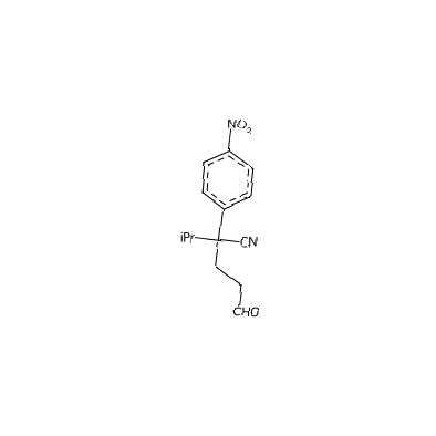 CC(C)C(C#N)(CCC=O)c1ccc([N+](=O)[O-])cc1